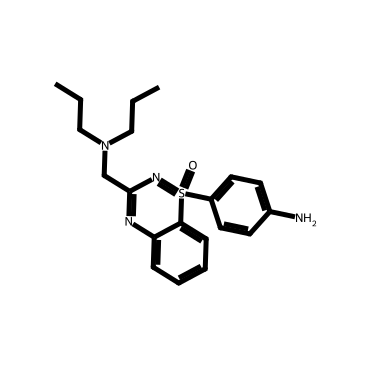 CCCN(CCC)CC1=Nc2ccccc2S(=O)(c2ccc(N)cc2)=N1